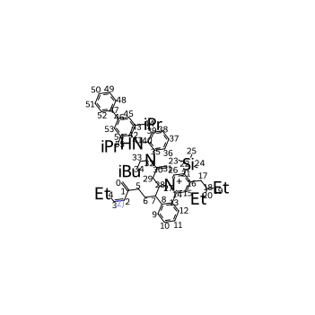 C=C(/C=C\CC)CCC1c2ccccc2-c2cc(CC(CC)CC)c([Si](C)(C)C)c[n+]2C1CC(=C)N(CC(C)CC)c1ccccc1Nc1c(C(C)C)cc(-c2ccccc2)cc1C(C)C